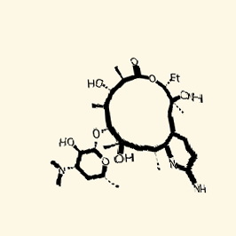 CC[C@H]1OC(=O)[C@H](C)[C@@H](O)[C@H](C)[C@@H](O[C@@H]2O[C@H](C)C[C@H](N(C)C)[C@H]2O)[C@@](C)(O)C[C@@H](C)C2=NC(=N)CC/C2=C\[C@]1(C)O